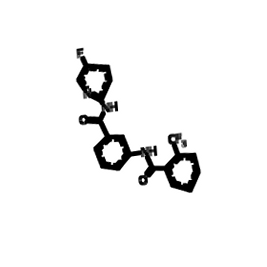 O=C(Nc1ccc(F)cn1)c1cccc(NC(=O)c2ccccc2C(F)(F)F)c1